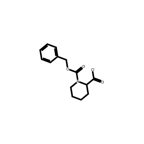 O=C(Cl)C1CCCCN1C(=O)OCc1ccccc1